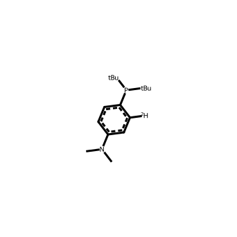 [2H]c1cc(N(C)C)ccc1P(C(C)(C)C)C(C)(C)C